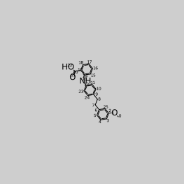 COc1cccc(CCc2ccc(Nc3ccccc3C(=O)O)cc2)c1